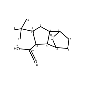 CC(C)(C)N1CC2C3CCC(O3)C2C1C(=O)O